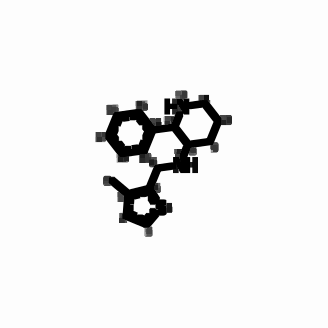 Cc1ccsc1CNC1CCCNC1c1ccccc1